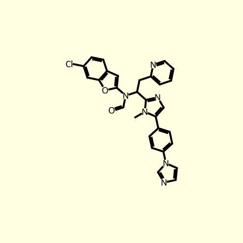 Cn1c(-c2ccc(-n3ccnc3)cc2)cnc1C(Cc1ccccn1)N(C=O)c1cc2ccc(Cl)cc2o1